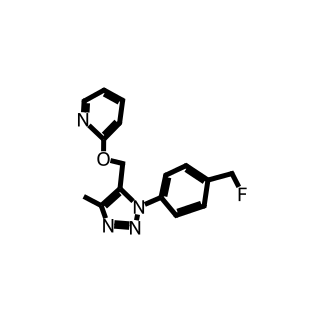 Cc1nnn(-c2ccc(CF)cc2)c1COc1ccccn1